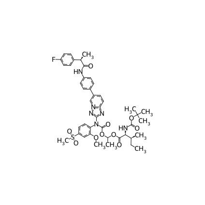 CC[C@H](C)[C@H](NC(=O)OC(C)(C)C)C(=O)OC(C)OC(=O)N(c1nc2ccc(-c3ccc(NC(=O)[C@H](C)c4ccc(F)cc4)cc3)cn2n1)c1ccc(S(C)(=O)=O)cc1OC